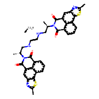 CS(=O)(=O)O.Cc1nc2cc3c4c(cccc4c2s1)C(=O)N([C@H](C)CNCCNC[C@@H](C)N1C(=O)c2cccc4c2c(cc2nc(C)sc24)C1=O)C3=O